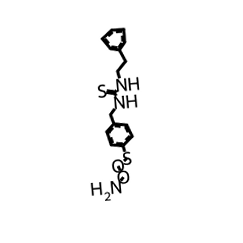 NOOSc1ccc(CNC(=S)NCCc2ccccc2)cc1